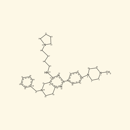 CN1CCN(c2ccc(-c3nc4c(c(NCCCCN5CCCC5)n3)CN(Cc3ccccc3)CC4)cc2)CC1